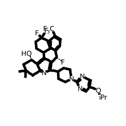 CC(C)Oc1cnc(N2CCC(c3nc4c(c(C5CCC(F)(F)CC5)c3[C@@H](F)c3ccc(C(F)(F)F)cc3)[C@@H](O)CC(C)(C)C4)CC2)nc1